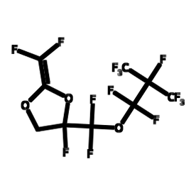 FC(F)=C1OCC(F)(C(F)(F)OC(F)(F)C(F)(C(F)(F)F)C(F)(F)F)O1